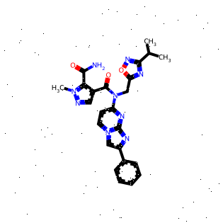 CC(C)c1noc(CN(C(=O)c2cnn(C)c2C(N)=O)c2ccn3cc(-c4ccccc4)nc3n2)n1